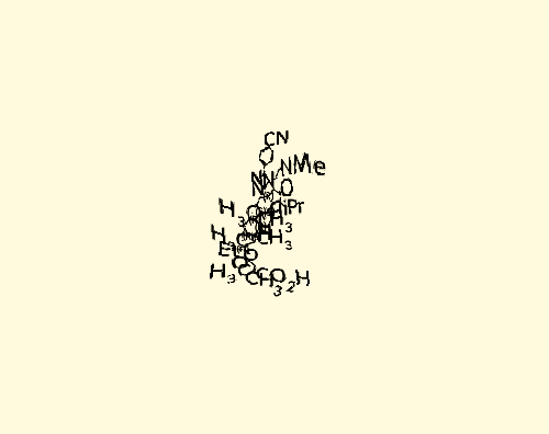 CC[C@H](CC[C@@]1(C)[C@H](C)CC[C@]2(C)[C@@H]1CC[C@@H]1C3=C(C(C)C)C(=O)C[C@]3(c3nnc(-c4ccc(C#N)cc4)n3CCNC)CC[C@]12C)OC(=O)CC(C)(C)C(=O)O